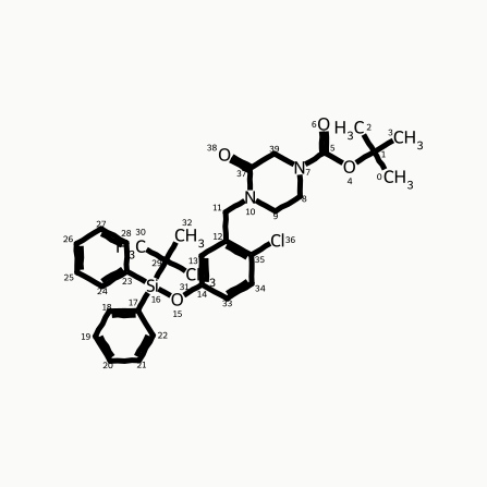 CC(C)(C)OC(=O)N1CCN(Cc2cc(O[Si](c3ccccc3)(c3ccccc3)C(C)(C)C)ccc2Cl)C(=O)C1